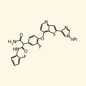 CCCn1cnc(-c2cc3nccc(Oc4ccc(C(C(N)=O)C(=O)Nc5ccccc5F)cc4F)c3s2)c1